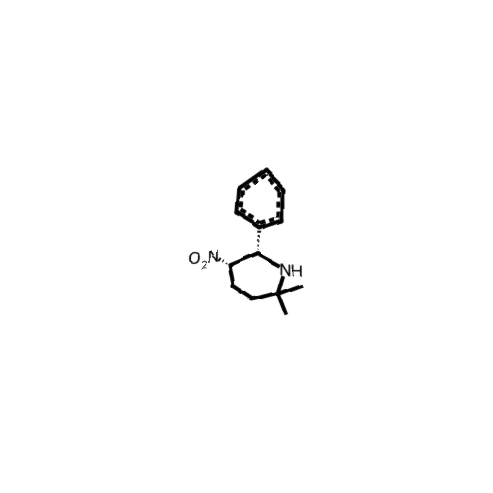 CC1(C)CC[C@H]([N+](=O)[O-])[C@H](c2ccccc2)N1